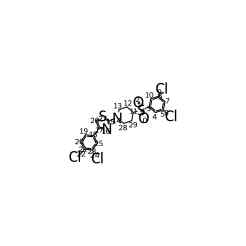 O=S(=O)(c1cc(Cl)cc(Cl)c1)C1CCN(c2nc(-c3ccc(Cl)c(Cl)c3)cs2)CC1